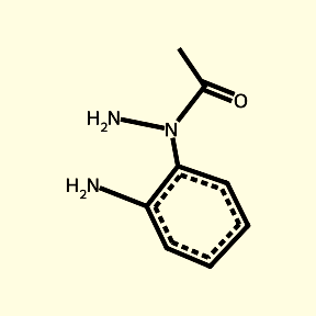 CC(=O)N(N)c1ccccc1N